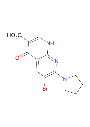 O=C(O)c1c[nH]c2nc(N3CCCC3)c(Br)cc2c1=O